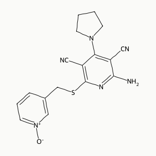 N#Cc1c(N)nc(SCc2ccc[n+]([O-])c2)c(C#N)c1N1CCCC1